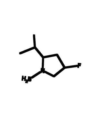 BN1CC(F)CC1C(C)C